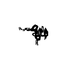 COc1cccc(C(=O)N2CC(=O)N(Cc3ccccc3F)C23CCNCC3)c1